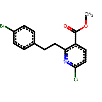 COC(=O)c1ccc(Cl)nc1CCc1ccc(Br)cc1